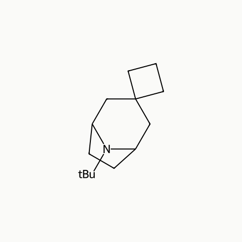 CC(C)(C)N1C2CCC1CC1(CCC1)C2